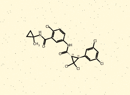 CC1(NC(=O)c2cc(NC(=O)[C@@H]3[C@@H](c4cc(Cl)cc(Cl)c4)C3(Cl)Cl)ccc2Cl)CC1